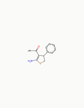 CCCC(=O)C1=C(N)SCC1c1ccccc1